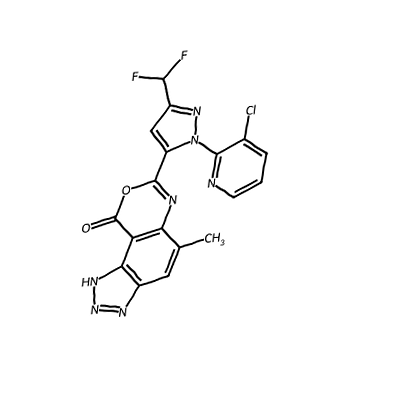 Cc1cc2nn[nH]c2c2c(=O)oc(-c3cc(C(F)F)nn3-c3ncccc3Cl)nc12